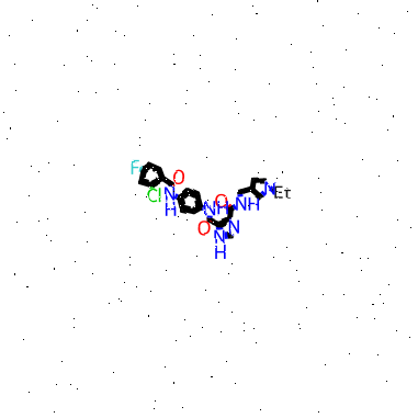 CCN1CCC(CNC(=O)c2nc[nH]c2C(=O)Nc2ccc(NC(=O)c3ccc(F)cc3Cl)cc2)C1